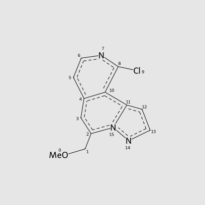 COCc1cc2ccnc(Cl)c2c2ccnn12